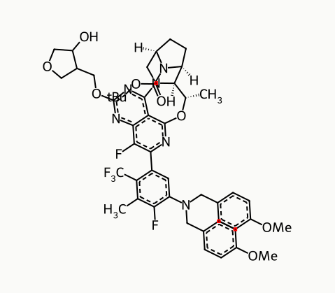 COc1ccc(CN(Cc2ccc(OC)cc2)c2cc(-c3nc4c5c(nc(OCC6COCC6O)nc5c3F)N3C[C@H]5CC[C@@H]([C@H]3[C@H](C)O4)N5C(=O)OC(C)(C)C)c(C(F)(F)F)c(C)c2F)cc1